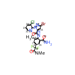 CNC(=O)C(F)(F)c1cc(C)c(NC(=O)c2cc(Br)nn2-c2ncccc2Cl)c(C(N)=O)c1